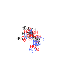 CN(C(=O)OC(C)(C)C)[C@@H]1[C@@H](O)[C@@H](O[C@H]2[C@H](NC(=O)[C@@H](O)CNC(=O)OC(C)(C)C)C[C@H](N)C([C@H]3OC(CNCC(O)C(N)=O)=CC[C@H]3N)[C@@H]2O)OC[C@]1(C)O